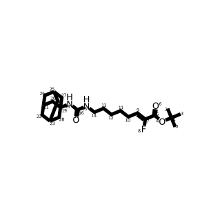 CC(C)(C)OC(=O)C(F)=CCCCCCNC(=O)NC12CC3CC(CC(C3)C1)C2